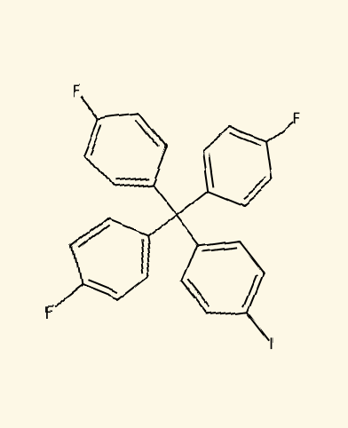 Fc1ccc(C(c2ccc(F)cc2)(c2ccc(F)cc2)c2ccc(I)cc2)cc1